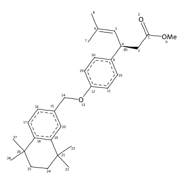 COC(=O)C[C@H](C=C(C)C)c1ccc(OCc2ccc3c(c2)C(C)(C)CCC3(C)C)cc1